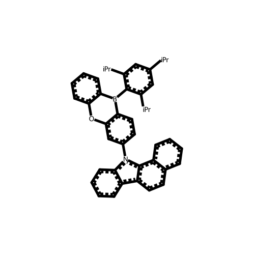 CC(C)c1cc(C(C)C)c(B2c3ccccc3Oc3cc(-n4c5ccccc5c5ccc6ccccc6c54)ccc32)c(C(C)C)c1